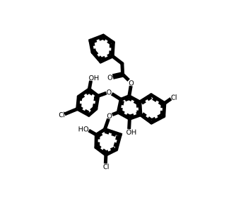 O=C(Cc1ccccc1)Oc1c(Oc2ccc(Cl)cc2O)c(Oc2ccc(Cl)cc2O)c(O)c2ccc(Cl)cc12